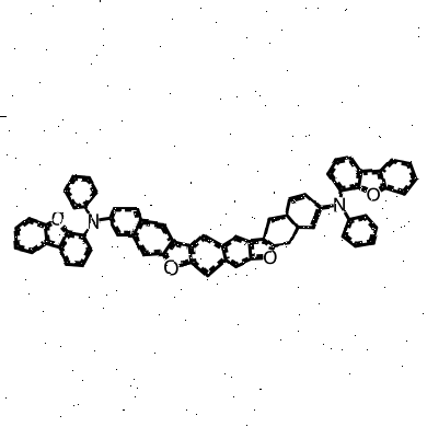 C1=CC(N(c2ccccc2)c2cccc3c2oc2ccccc23)=CC2Cc3oc4cc5cc6oc7cc8cc(N(c9ccccc9)c9cccc%10c9oc9ccccc9%10)ccc8cc7c6cc5cc4c3C=C12